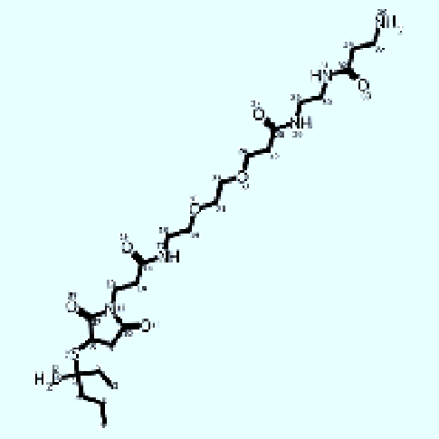 BC(CC)(CCC)SC1CC(=O)N(CCC(=O)NCCOCCOCCC(=O)NCCNC(=O)CCN)C1=O